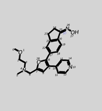 COCCN(C)Cc1cc(-c2ccncc2)c(-c2ccc3c(c2)CC/C3=N/O)o1